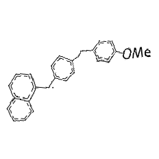 COc1ccc(Cc2ccc([CH]c3cccc4ccccc34)cc2)cc1